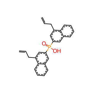 C=CCc1cc(P(=O)(O)c2cc(CC=C)c3ccccc3c2)cc2ccccc12